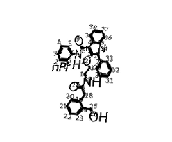 CCCc1ccccc1NC(=O)c1c(OCCNC(=O)Cc2ccccc2CO)c(-c2ccccc2)nc2ccccc12